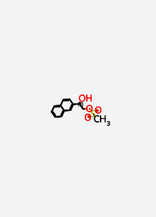 CS(=O)(=O)OC[C@H](O)c1ccc2ccccc2c1